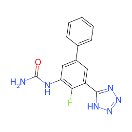 NC(=O)Nc1cc(-c2ccccc2)cc(-c2nnn[nH]2)c1F